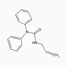 C=CCNC(=O)N(c1ccccc1)c1ccccc1